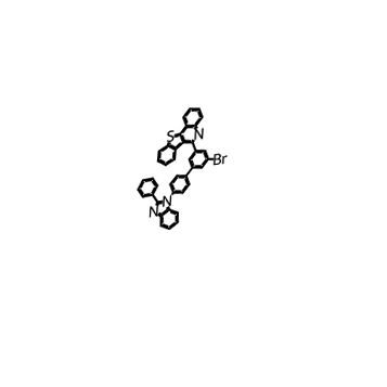 Brc1cc(-c2ccc(-n3c(-c4ccccc4)nc4ccccc43)cc2)cc(-c2nc3ccccc3c3sc4ccccc4c23)c1